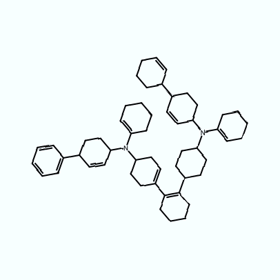 C1=CC(C2C=CC(N(C3=CCCCC3)C3CCC(C4=C(C5=CCC(N(C6=CCCCC6)C6C=CC(c7ccccc7)CC6)CC5)CCCC4)CC3)CC2)CCC1